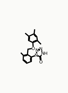 Cc1cc(C)c(OCc2c(C)cccc2-n2nn[nH]c2=O)cc1C